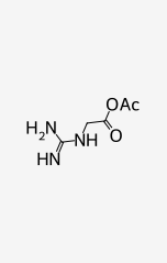 CC(=O)OC(=O)CNC(=N)N